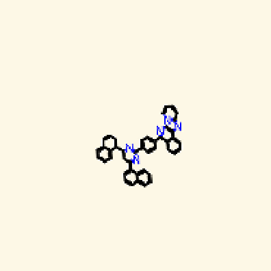 c1ccc2c(-c3cc(-c4cccc5ccccc45)nc(-c4ccc(-c5nc6c(nc7ccccn76)c6ccccc56)cc4)n3)cccc2c1